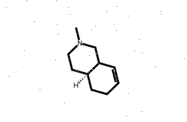 CN1CC[C@@H]2CCC=CC2C1